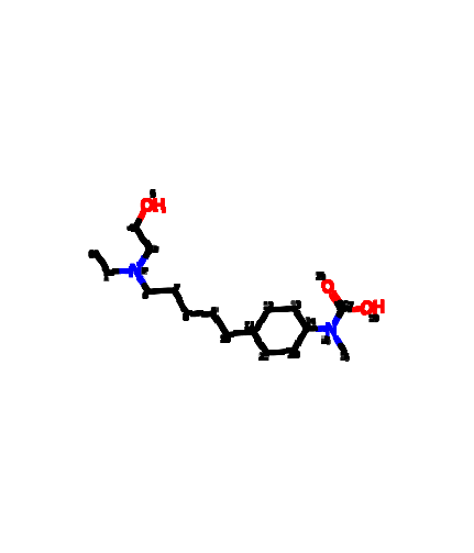 CCN(CCO)CCCCCC1CCC(N(C)C(=O)O)CC1